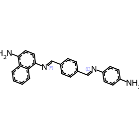 Nc1ccc(/N=C/c2ccc(/C=N/c3ccc(N)c4ccccc34)cc2)cc1